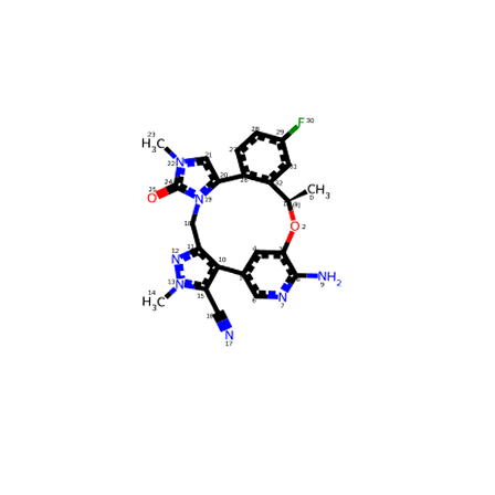 C[C@H]1Oc2cc(cnc2N)-c2c(nn(C)c2C#N)Cn2c(cn(C)c2=O)-c2ccc(F)cc21